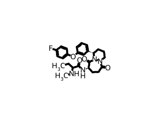 CCC(NC)C(=O)N[C@H]1CCC(=O)N2CCC[C@@H](c3cccc(Oc4ccc(F)cc4)c3)N2C1=O